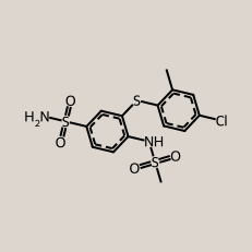 Cc1cc(Cl)ccc1Sc1cc(S(N)(=O)=O)ccc1NS(C)(=O)=O